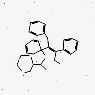 CC/C(=C(/Cc1ccccc1)C1(OC(C)C2COCCN2)C=CC=CC1)c1ccccc1